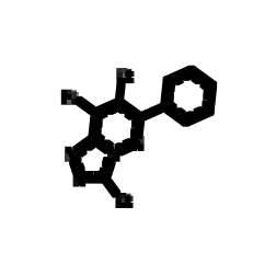 CCc1c(-c2ccccc2)nn2c(CC)nnc2c1CC